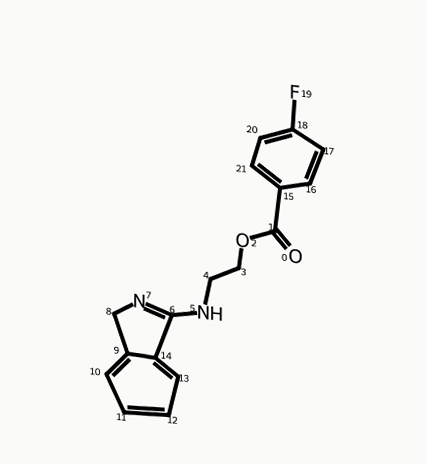 O=C(OCCNC1=NCc2ccccc21)c1ccc(F)cc1